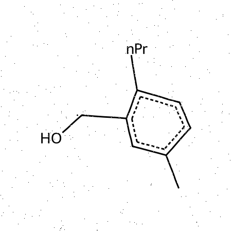 CCCc1ccc(C)cc1[CH]O